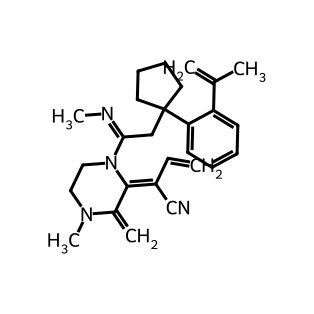 C=C/C(C#N)=C1/C(=C)N(C)CCN1/C(CC1(c2ccccc2C(=C)C)CCCC1)=N\C